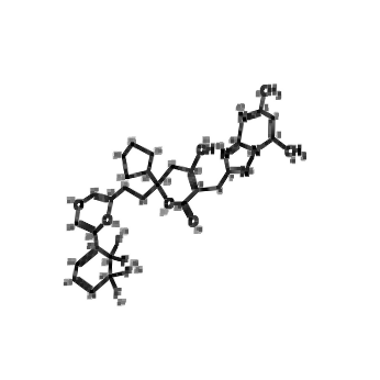 Cc1cc(C)n2nc(CC3=C(O)CC(CCC4=COC=C(C5=CC=CC(F)(F)C5(F)F)O4)(C4CCCC4)OC3=O)nc2n1